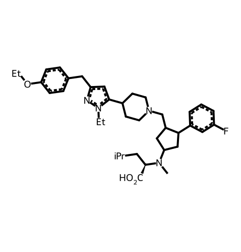 CCOc1ccc(Cc2cc(C3CCN(CC4CC(N(C)[C@H](CC(C)C)C(=O)O)CC4c4cccc(F)c4)CC3)n(CC)n2)cc1